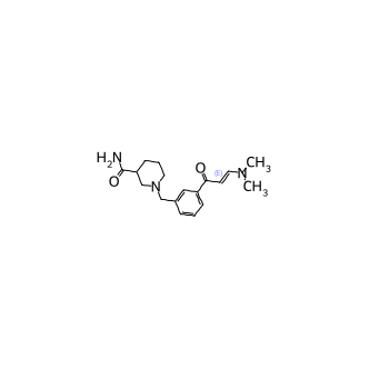 CN(C)/C=C/C(=O)c1cccc(CN2CCCC(C(N)=O)C2)c1